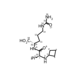 CC(C)[C@H](NC1CCC1)C(=O)N[C@@H](CCCNC(N)=O)C(=O)O